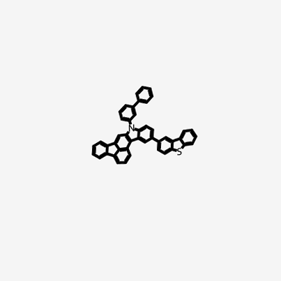 c1ccc(-c2cccc(-n3c4ccc(-c5ccc6sc7ccccc7c6c5)cc4c4c5cccc6c5c(cc43)-c3ccccc3-6)c2)cc1